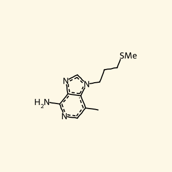 CSCCCn1cnc2c(N)ncc(C)c21